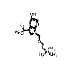 COC(=O)c1cn(COCC[Si](C)(C)C)c2ncc(O)cc12